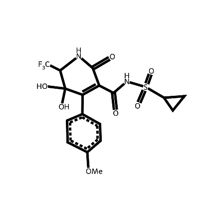 COc1ccc(C2=C(C(=O)NS(=O)(=O)C3CC3)C(=O)NC(C(F)(F)F)C2(O)O)cc1